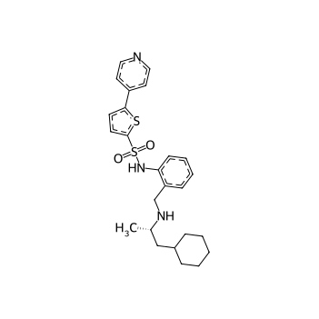 C[C@@H](CC1CCCCC1)NCc1ccccc1NS(=O)(=O)c1ccc(-c2ccncc2)s1